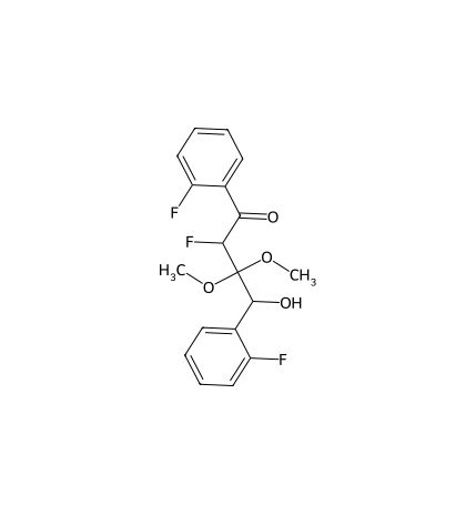 COC(OC)(C(F)C(=O)c1ccccc1F)C(O)c1ccccc1F